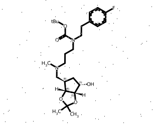 CN(CCCN(CCc1ccc(F)cc1)C(=O)OC(C)(C)C)C[C@H]1C[C@H](O)[C@@H]2OC(C)(C)O[C@H]12